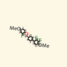 COc1ccc(OCc2ccc(-c3ccc(OC)c(F)c3F)cc2)c(F)c1